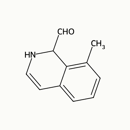 Cc1cccc2c1C(C=O)NC=C2